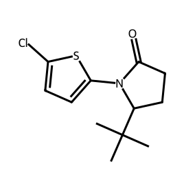 CC(C)(C)C1CCC(=O)N1c1ccc(Cl)s1